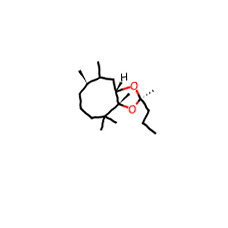 CCC[C@]1(C)O[C@H]2CC(C)[C@H](C)CCCC(C)(C)[C@@]2(C)O1